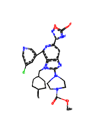 CC1CCC(Cn2c(N3CCN(C(=O)OC(C)(C)C)CC3)nc3cc(-c4noc(=O)[nH]4)nc(-c4cncc(Cl)c4)c32)CC1